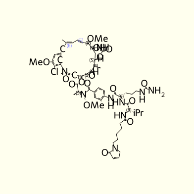 COc1cc(C(=O)N(C)[C@@H](C)C(=O)O[C@H]2CC(=O)N(C)c3cc(cc(OC)c3Cl)C/C(C)=C/C=C/[C@@H](OC)[C@@]3(O)C[C@H](OC(=O)N3)[C@@H](C)[C@@H]3O[C@@]23C)ccc1NC(=O)[C@H](CCCNC(N)=O)NC(=O)[C@@H](NC(=O)CCCCCN1CC=CC1=O)C(C)C